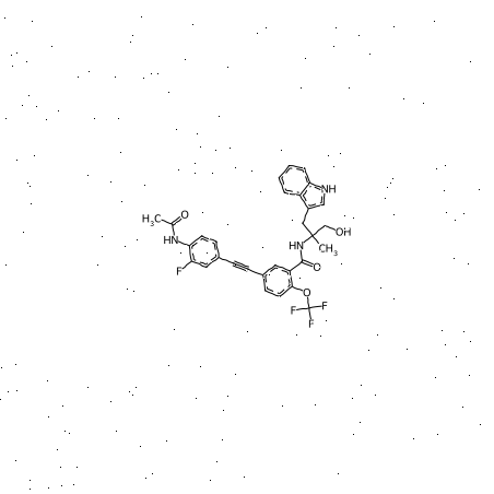 CC(=O)Nc1ccc(C#Cc2ccc(OC(F)(F)F)c(C(=O)NC(C)(CO)Cc3c[nH]c4ccccc34)c2)cc1F